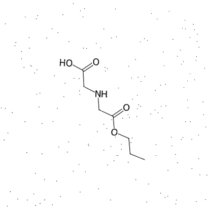 CCCOC(=O)CNCC(=O)O